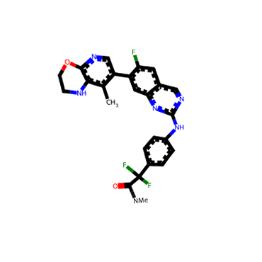 CNC(=O)C(F)(F)c1ccc(Nc2ncc3cc(F)c(-c4cnc5c(c4C)NCCO5)cc3n2)cc1